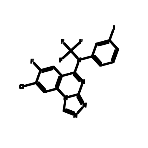 Fc1cc2c(N(c3cccc(I)c3)C(F)(F)F)nc3nncn3c2cc1Cl